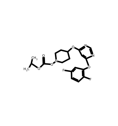 CC(C)OC(=O)ON1CCC(Oc2cc(Oc3cc(F)ccc3F)ncn2)CC1